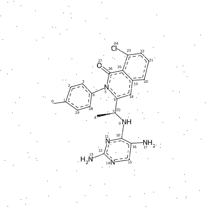 Cc1ccc(-n2c([C@H](C)Nc3nc(N)ncc3N)cc3cccc(Cl)c3c2=O)cc1